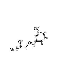 COC(=O)COCc1cc(Cl)ccn1